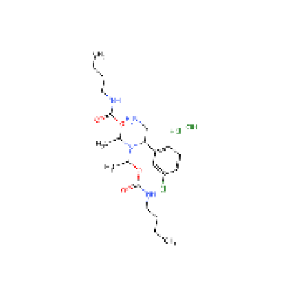 CCCCNC(=O)OC(C)N(C(C)OC(=O)NCCCC)C(CN)c1cccc(Cl)c1.Cl.Cl